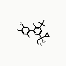 CC(C)(F)c1cc([C@@](O)(CN)C2CC2)nc(-c2cc(Cl)c(F)cc2F)c1F